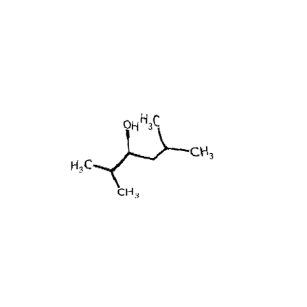 CC(C)C[C@H](O)C(C)C